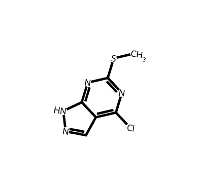 CSc1nc(Cl)c2cn[nH]c2n1